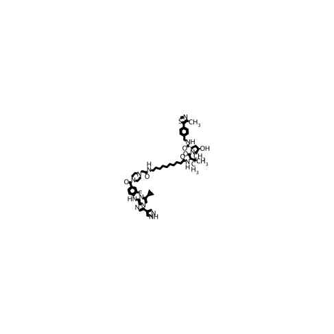 Cc1ncsc1-c1ccc(CNC(=O)[C@@H]2C[C@@H](O)CN2C(=O)[C@@H](NC(=O)CCCCCCCCCNC(=O)CN2CCN(C(=O)c3ccc(Nc4nc(C5CC5)cn5c(-c6cn[nH]c6)cnc45)c(F)c3)CC2)C(C)(C)C)cc1